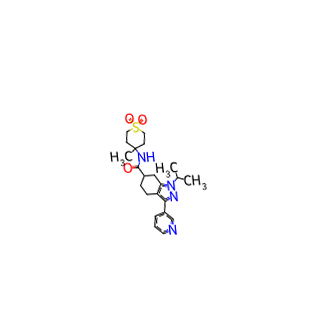 CC(C)n1nc(-c2cccnc2)c2c1CC(C(=O)NC1(C)CCS(=O)(=O)CC1)CC2